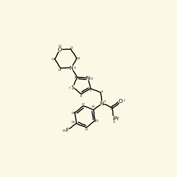 CC(C)C(=O)N(Cc1csc(N2CCOCC2)n1)c1ccc(F)cc1